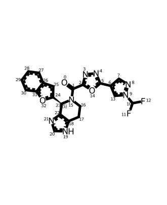 O=C(c1nnc(-c2cnn(C(F)F)c2)o1)N1CCc2[nH]cnc2[C@H]1c1cc2ccccc2o1